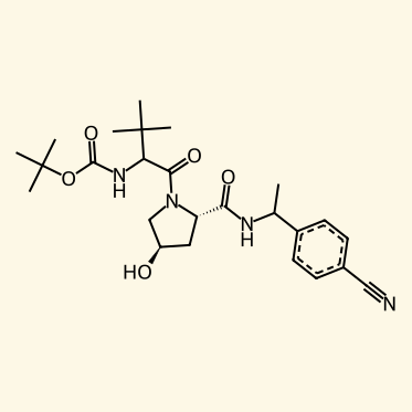 CC(NC(=O)[C@@H]1C[C@@H](O)CN1C(=O)C(NC(=O)OC(C)(C)C)C(C)(C)C)c1ccc(C#N)cc1